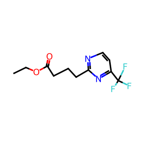 CCOC(=O)CCCc1nccc(C(F)(F)F)n1